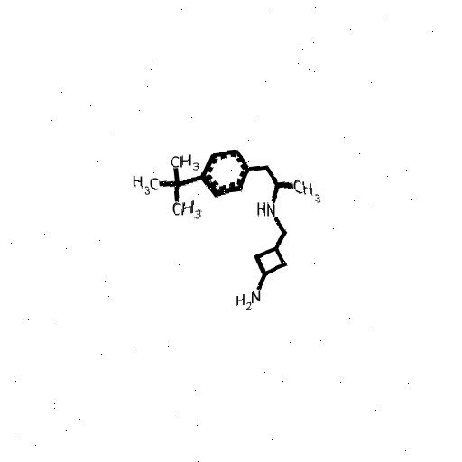 CC(Cc1ccc(C(C)(C)C)cc1)NCC1CC(N)C1